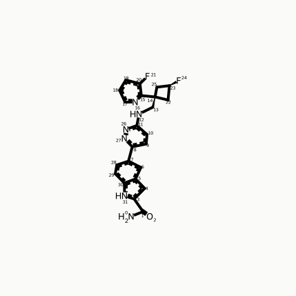 NC(=O)c1cc2cc(-c3ccc(NC[C@]4(c5ncccc5F)C[C@H](F)C4)nn3)ccc2[nH]1